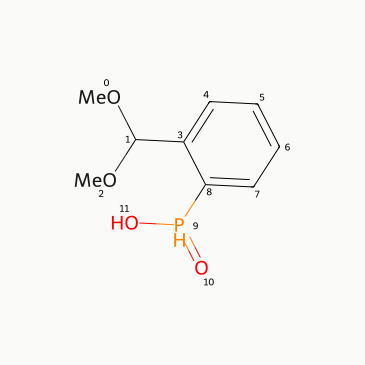 COC(OC)c1ccccc1[PH](=O)O